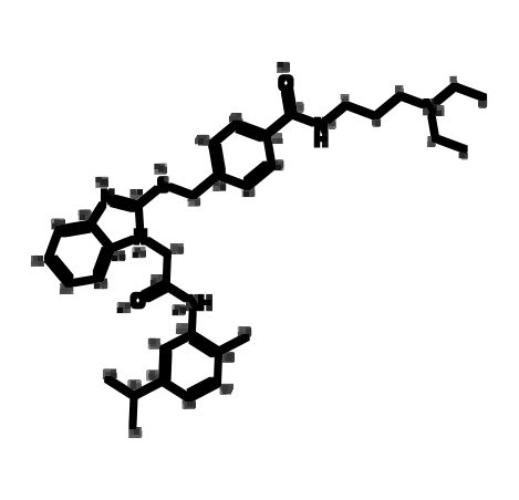 CCN(CC)CCCNC(=O)c1ccc(CSc2nc3ccccc3n2CC(=O)Nc2cc(C(C)C)ccc2C)cc1